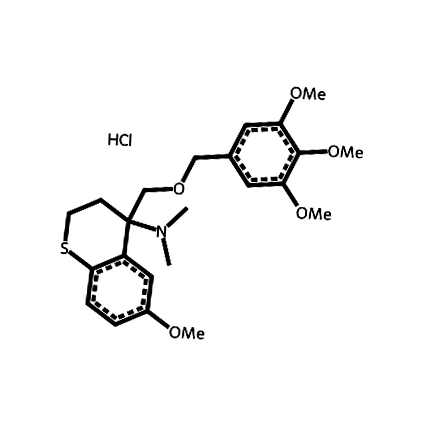 COc1ccc2c(c1)C(COCc1cc(OC)c(OC)c(OC)c1)(N(C)C)CCS2.Cl